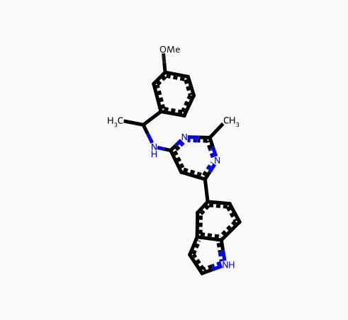 COc1cccc(C(C)Nc2cc(-c3ccc4[nH]ccc4c3)nc(C)n2)c1